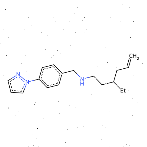 C=CCC(CC)CCNCc1ccc(-n2cccn2)cc1